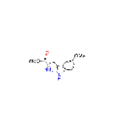 COC(=O)[C@@H](N)Cc1c[nH]c2ccc(OC)cc12